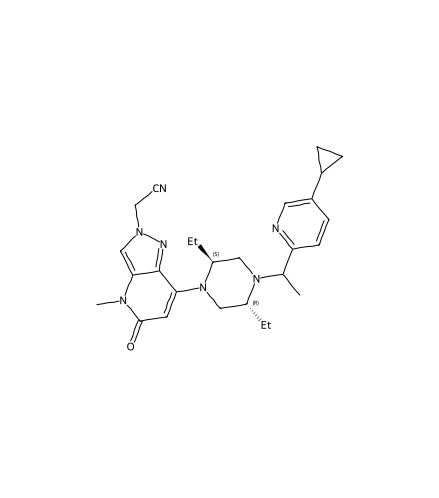 CC[C@H]1CN(C(C)c2ccc(C3CC3)cn2)[C@H](CC)CN1c1cc(=O)n(C)c2cn(CC#N)nc12